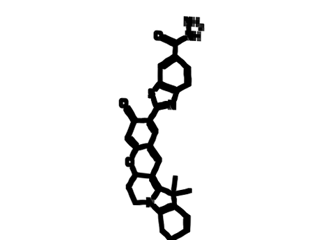 CC1(C)C2=C(CCC=C2)N2CCC3OC4=CC(=O)C(c5nc6ccc(C(=O)NN)cc6s5)=CC4=CC3=C21